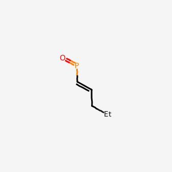 CCCC=CP=O